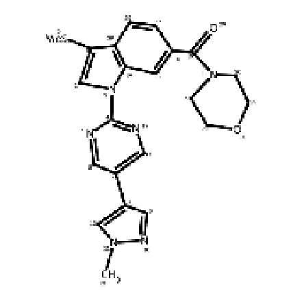 CSc1cn(-c2ncc(-c3cnn(C)c3)cn2)c2cc(C(=O)N3CCOCC3)ccc12